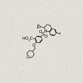 O=C(O)c1cc(S(=O)(=O)N2c3ccc(I)cc3CCC2C2CC2)ccc1OCC1CCOCC1